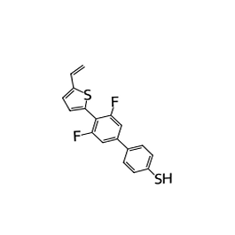 C=Cc1ccc(-c2c(F)cc(-c3ccc(S)cc3)cc2F)s1